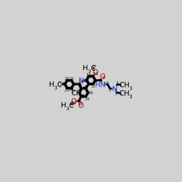 CCN(CC)CCNC(=O)c1cc2c(cc1OC)nc(-c1ccc(C)cc1C)c1cc(C(=O)OC)ccc12